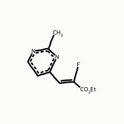 CCOC(=O)/C(F)=C/c1ccnc(C)n1